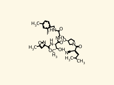 Cc1ccc(CNC(=O)[C@H](CO[C@H]2CCN(C(=O)/C(C#N)=C/C(C)C)C2)NC(=O)[C@@H](NC(=O)c2cc(C)on2)[C@@H](C)O)c(F)c1